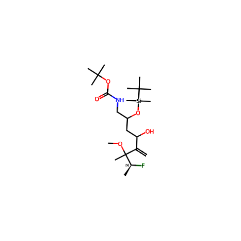 C=C(C(O)CC(CNC(=O)OC(C)(C)C)O[Si](C)(C)C(C)(C)C)C(C)(OC)[C@H](C)F